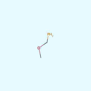 COCP